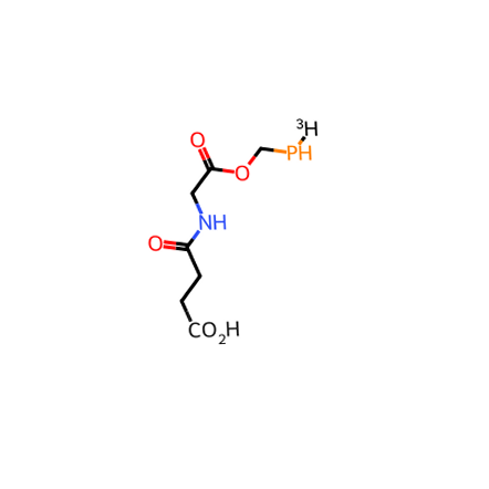 [3H]PCOC(=O)CNC(=O)CCC(=O)O